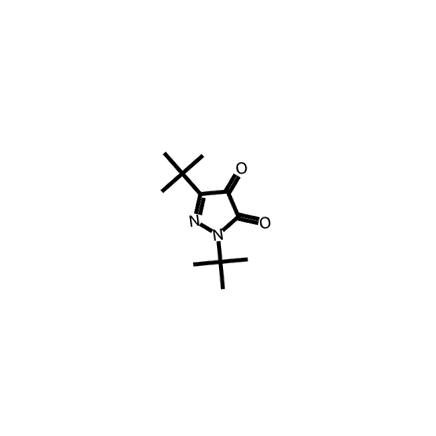 CC(C)(C)C1=NN(C(C)(C)C)C(=O)C1=O